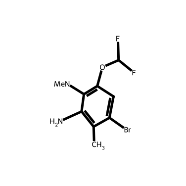 CNc1c(OC(F)F)cc(Br)c(C)c1N